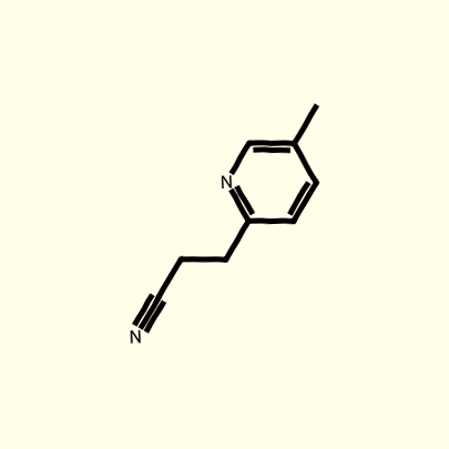 Cc1ccc(CCC#N)nc1